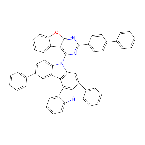 c1ccc(-c2ccc(-c3nc(-n4c5ccc(-c6ccccc6)cc5c5c6c7ccccc7n7c8ccccc8c(cc54)c67)c4c(n3)oc3ccccc34)cc2)cc1